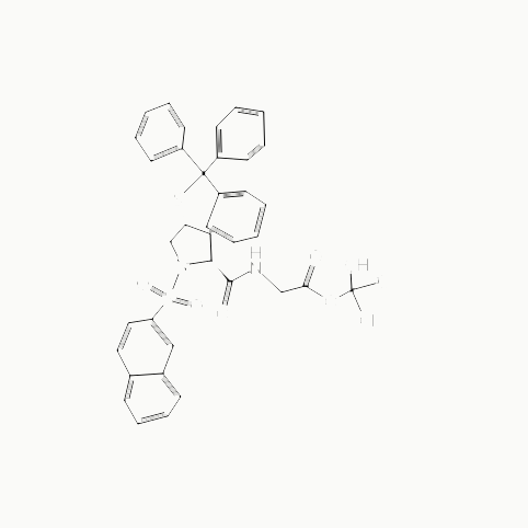 CC(C)(C)OC(=O)CNC(=O)[C@@H]1C[C@@H](SC(c2ccccc2)(c2ccccc2)c2ccccc2)CN1S(=O)(=O)c1ccc2ccccc2c1